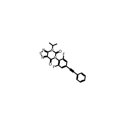 CC(C)n1c(=O)n(-c2c(F)cc(C#Cc3ccccc3)cc2F)c(=O)c2nsnc21